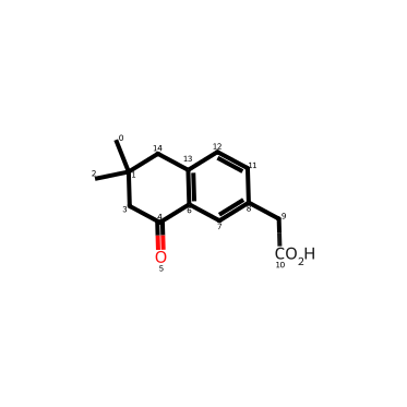 CC1(C)CC(=O)c2cc(CC(=O)O)ccc2C1